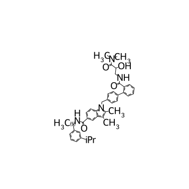 Cc1c(C)n(Cc2ccc(-c3ccccc3C(=O)NCC(O)C(=O)N(C)C)cc2)c2ccc(C(=O)N[C@@H](C)c3cccc(C(C)C)c3)cc12